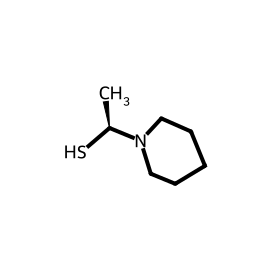 C[C@H](S)N1CCCCC1